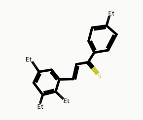 CCc1ccc(C(=S)C=Cc2cc(CC)cc(CC)c2CC)cc1